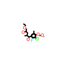 CCOCC(=O)CC(C)C(=O)c1cc(C)c(OCOC)c(Cl)c1F